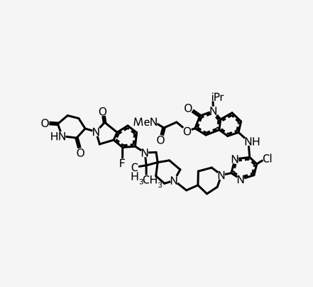 CNC(=O)COc1cc2cc(Nc3nc(N4CCC(CN5CCC6(CC5)CN(c5ccc7c(c5F)CN(C5CCC(=O)NC5=O)C7=O)C6(C)C)CC4)ncc3Cl)ccc2n(C(C)C)c1=O